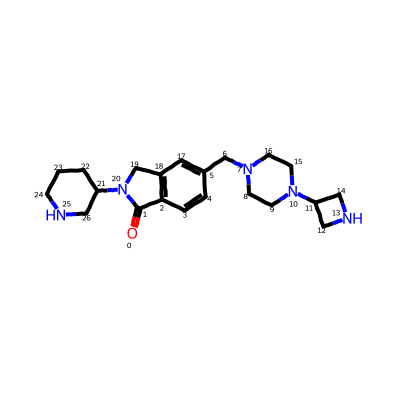 O=C1c2ccc(CN3CCN(C4CNC4)CC3)cc2CN1C1CCCNC1